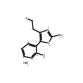 Br.Nc1nc(CCF)c(-c2ccccc2Cl)s1